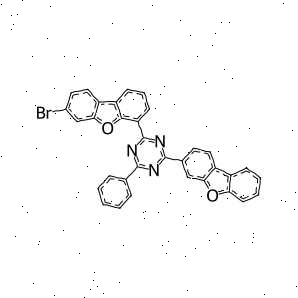 Brc1ccc2c(c1)oc1c(-c3nc(-c4ccccc4)nc(-c4ccc5c(c4)oc4ccccc45)n3)cccc12